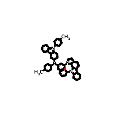 Cc1ccc(N(c2cccc(-n3ccc4ccc5c6ccccc6n(-c6ccccc6)c5c43)c2)c2ccc3c(c2)c2ccccc2n3-c2ccc(C)cc2)cc1